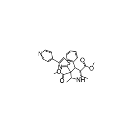 COC(=O)C1=C(C)NC(C)C(C(=O)OC)(c2nc(-c3ccncc3)cs2)C1c1ccccc1